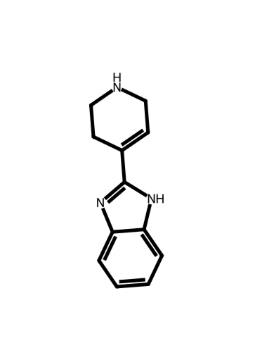 C1=C(c2nc3ccccc3[nH]2)CCNC1